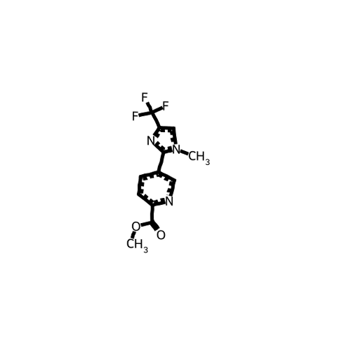 COC(=O)c1ccc(-c2nc(C(F)(F)F)cn2C)cn1